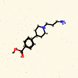 COC(=O)c1ccc(C2CCN(CCCN)CC2)cc1